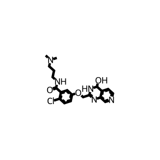 CN(C)CCCNC(=O)c1cc(OCC2=Nc3cnccc3C(O)N2)ccc1Cl